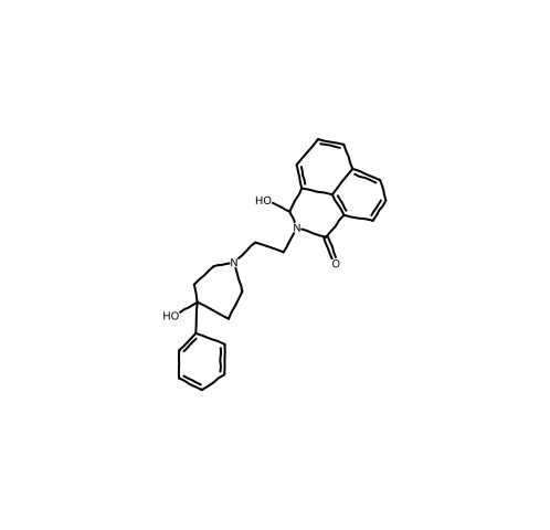 O=C1c2cccc3cccc(c23)C(O)N1CCN1CCC(O)(c2ccccc2)CC1